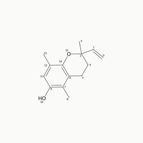 C=CC1(C)CCc2c(C)c(O)cc(C)c2O1